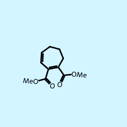 COC(=O)C1=C(C(=O)OC)CCCC=C1